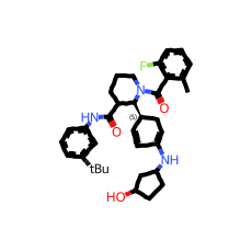 Cc1cccc(F)c1C(=O)N1CCCC(C(=O)Nc2cccc(C(C)(C)C)c2)C1[C@@H]1C=CC(NC2CCC(O)C2)=CC1